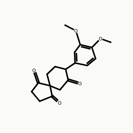 COc1ccc(C2CCC3(CC2=O)C(=O)CCC3=O)cc1OC